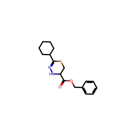 O=C(OCc1ccccc1)C1CSC(C2CCCCC2)=NN1